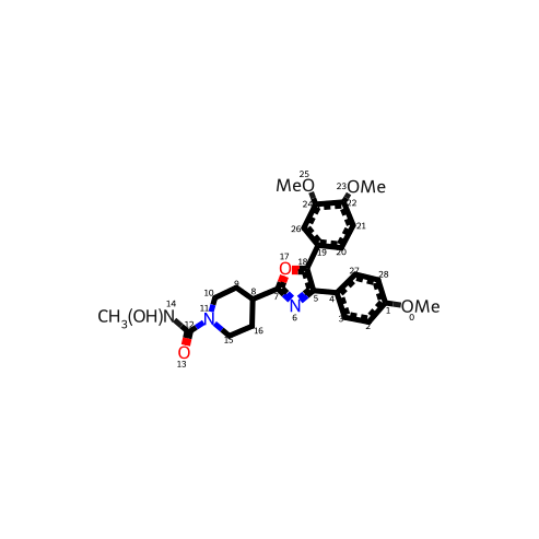 COc1ccc(-c2nc(C3CCN(C(=O)N(C)O)CC3)oc2-c2ccc(OC)c(OC)c2)cc1